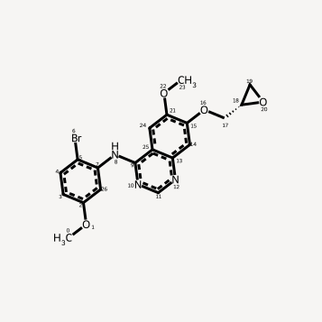 COc1ccc(Br)c(Nc2ncnc3cc(OC[C@@H]4CO4)c(OC)cc23)c1